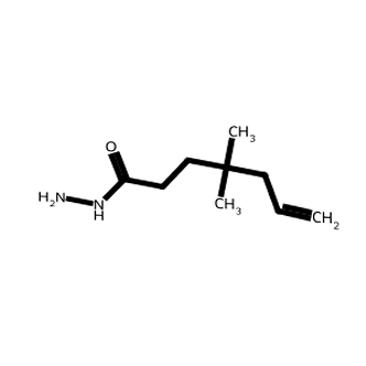 C=CCC(C)(C)CCC(=O)NN